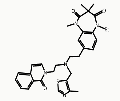 CCN1C(=O)C(C)(C)C(=O)N(C)c2cc(CCN(CCn3ccc4ccccc4c3=O)Cc3scnc3C)ccc21